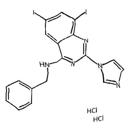 Cl.Cl.Ic1cc(I)c2nc(-n3ccnc3)nc(NCc3ccccc3)c2c1